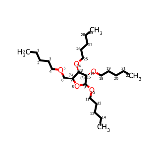 CCCCCOC[C@@H]1OC(OCCCCC)[C@@H](OCCCCC)[C@@H]1OCCCCC